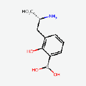 N[C@H](Cc1cccc(B(O)O)c1O)C(=O)O